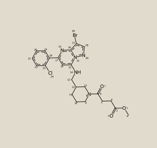 COC(=O)CCC(=O)N1CCCC(CNc2cc(-c3ccccc3Cl)nc3c(Br)cnn23)C1